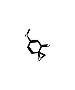 COC1=CC(=O)C2(C=C1)CO2